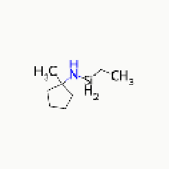 CC[SiH2]NC1(C)CCCC1